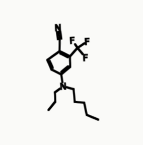 CCCCCN(CCC)c1ccc(C#N)c(C(F)(F)F)c1